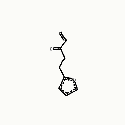 C=CC(=O)CCc1ccco1